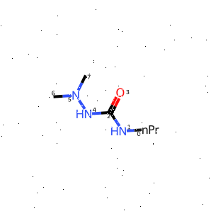 CCCNC(=O)NN(C)C